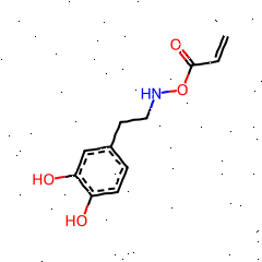 C=CC(=O)ONCCc1ccc(O)c(O)c1